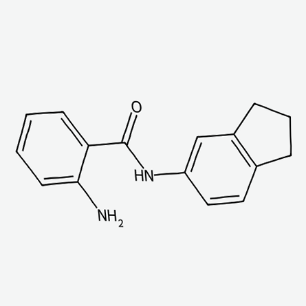 Nc1ccccc1C(=O)Nc1ccc2c(c1)CCC2